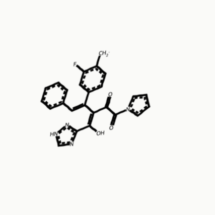 [CH2]c1ccc(C(=Cc2ccccc2)C(C(=O)C(=O)n2cccc2)=C(O)c2nc[nH]n2)cc1F